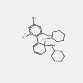 CC(C)c1cc(C(C)C)c(C2=CC=CCC2(PC2CCCCC2)PC2CCCCC2)c(C(C)C)c1